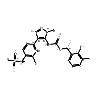 Cc1cccc([C@@H](C)OC(=O)Nc2c(-c3ccc(NS(C)(=O)=O)c(C)n3)nnn2C)c1F